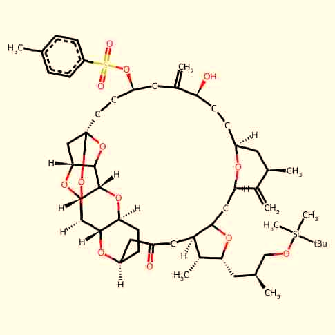 C=C1C[C@H](OS(=O)(=O)c2ccc(C)cc2)CC[C@@]23C[C@H]4O[C@H]5[C@@H](O2)[C@H]2O[C@H](CC[C@@H]2O[C@H]5C4O3)CC(=O)C[C@H]2C(C[C@H]3O[C@@H](CC[C@@H]1O)C[C@@H](C)C3=C)O[C@H](C[C@H](C)CO[Si](C)(C)C(C)(C)C)[C@@H]2C